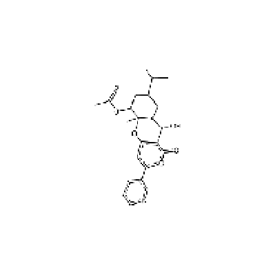 CC(=O)OC1CC(C(C)C)CC2C(O)c3c(cc(-c4cccnc4)oc3=O)OC12C